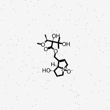 CO[C@@H](C)[C@](O)(C(=O)OCC1=CC[N+]2([O-])CC[C@H](O)[C@@H]12)C(C)(C)O